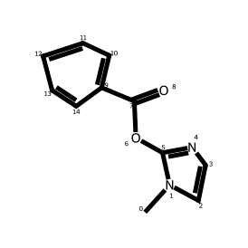 Cn1ccnc1OC(=O)c1ccccc1